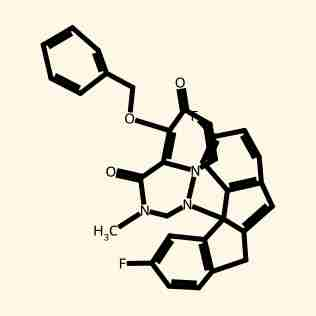 CN1CN(C23C(=Cc4ccc(F)cc42)Cc2ccc(F)cc23)n2ccc(=O)c(OCc3ccccc3)c2C1=O